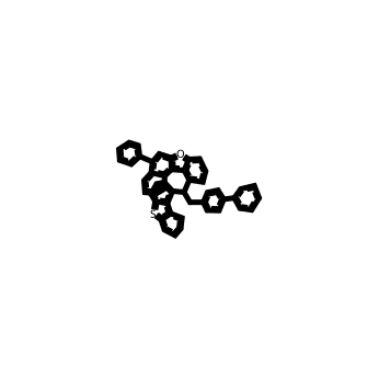 c1ccc(-c2ccc(CC(c3cccc4sc5ccccc5c34)c3cccc4oc5cc(-c6ccccc6)c6ccccc6c5c34)cc2)cc1